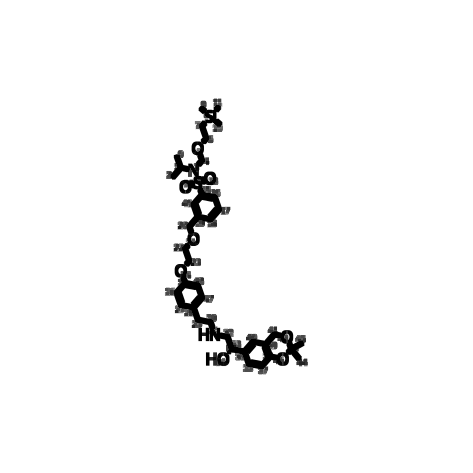 CC(C)N(COCC[Si](C)(C)C)S(=O)(=O)c1cccc(COCCOc2ccc(CCNC[C@@H](O)c3ccc4c(c3)COC(C)(C)O4)cc2)c1